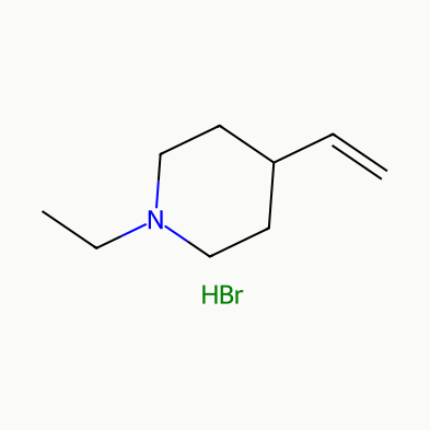 Br.C=CC1CCN(CC)CC1